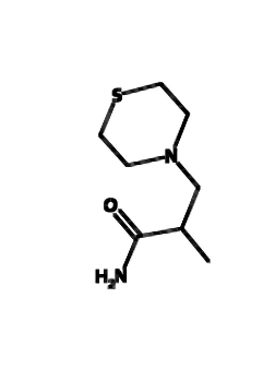 CC(CN1CCSCC1)C(N)=O